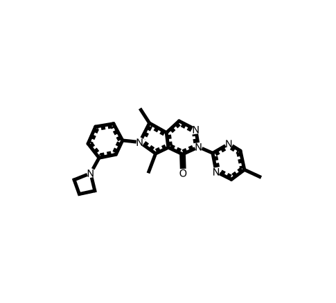 Cc1cnc(-n2ncc3c(C)n(-c4cccc(N5CCC5)c4)c(C)c3c2=O)nc1